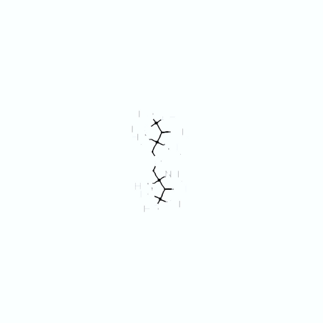 CC(C(C)(C)O)C(N)(N)COCC(N)(N)C(C)C(C)(C)O